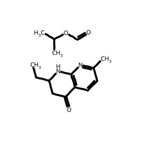 CC(C)OC=O.CCC1CC(=O)c2ccc(C)nc2N1